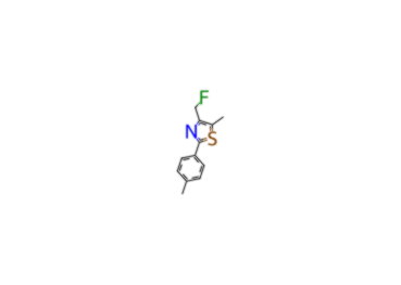 Cc1ccc(-c2nc(CF)c(C)s2)cc1